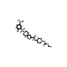 CCOC(=O)ON1CCC(NC(=O)C2=NOC3(CCN(S(=O)(=O)c4cc([N+](=O)[O-])ccc4C)CC3)C2)CC1